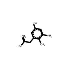 C=C(Cc1cc(C(C)(C)C)cc(N)c1C)C(C)(C)C